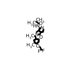 Cc1cc(C(C)N2Cc3c(ccnc3NC(=O)C(C)C)C2=O)ccc1OCC(F)F